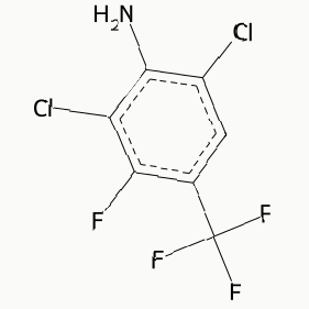 Nc1c(Cl)cc(C(F)(F)F)c(F)c1Cl